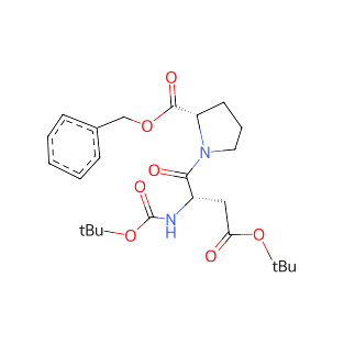 CC(C)(C)OC(=O)C[C@H](NC(=O)OC(C)(C)C)C(=O)N1CCC[C@H]1C(=O)OCc1ccccc1